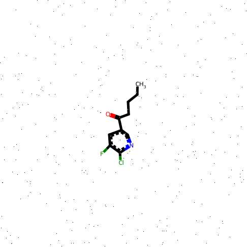 CCCCC(=O)c1cnc(Cl)c(F)c1